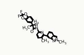 Cc1ccc(NC(=O)C(C)(C)c2ccc3c(c2)OC(F)(F)O3)nc1-c1ccc2cn(C)nc2c1